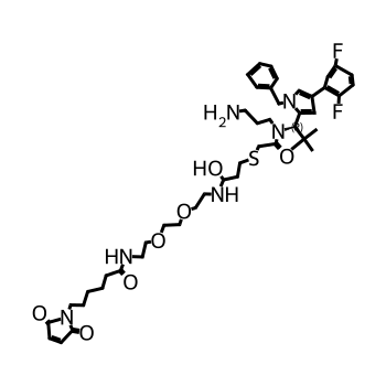 CC(C)(C)[C@H](c1cc(-c2cc(F)ccc2F)cn1Cc1ccccc1)N(CCCN)C(=O)CSCCC(O)NCCOCCOCCNC(=O)CCCCCN1C(=O)C=CC1=O